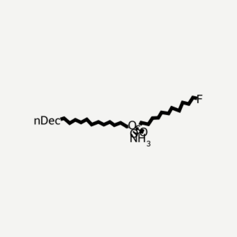 CCCCCCCCCCCCCCCCCCCCCCOS(=O)(=O)CCCCCCCCCCCF.N